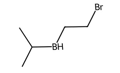 CC(C)BCCBr